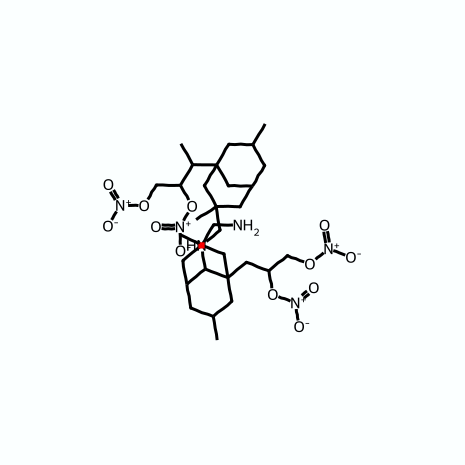 CC1CC2CC(C)(CNC3C4CC(C)CC3(CC(CO[N+](=O)[O-])O[N+](=O)[O-])CC(C)(CN)C4)CC(C(C)C(CO[N+](=O)[O-])O[N+](=O)[O-])(C1)C2